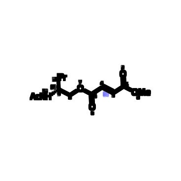 COC(=O)/C=C/C(=O)OC[C@H](NC(C)=O)C(C)C